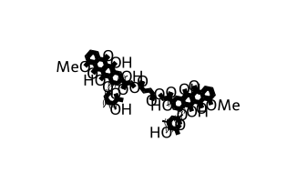 COc1cccc2c1C(=O)c1c(O)c3c(c(O)c1C2=O)C[C@@](O)(C(=O)COC(=O)CCC(=O)OCC(=O)[C@@]1(O)Cc2c(O)c4c(c(O)c2[C@H](O[C@@H]2C[C@H](C)[C@@H](O)C(C)O2)C1)C(=O)c1c(OC)cccc1C4=O)C[C@@H]3O[C@H]1C[C@@H](C)[C@H](O)C(C)O1